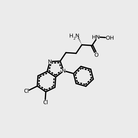 N[C@@H](CCc1nc2cc(Cl)c(Cl)cc2n1-c1ccccc1)C(=O)NO